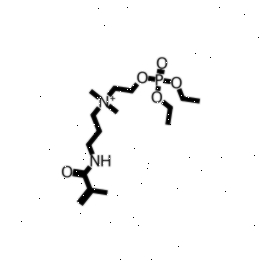 C=C(C)C(=O)NCCC[N+](C)(C)CCOP(=O)(OCC)OCC